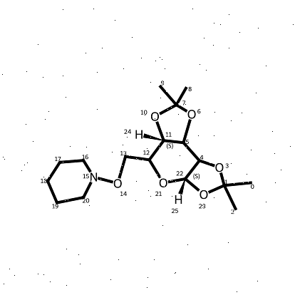 CC1(C)OC2C3OC(C)(C)O[C@H]3C(CON3CCCCC3)O[C@H]2O1